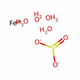 O.O.O.O.O=S([O-])[O-].[Fe+2]